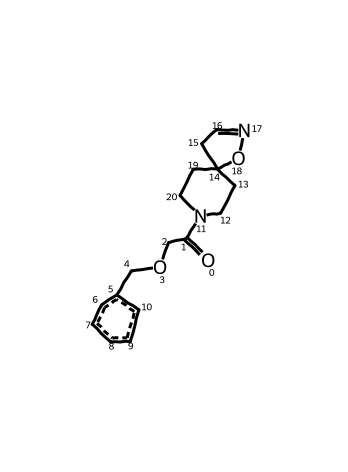 O=C(COCc1ccccc1)N1CCC2(CC=NO2)CC1